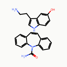 NC(=O)N1c2ccccc2C=Cc2ccccc21.NCCc1c[nH]c2ccc(O)cc12